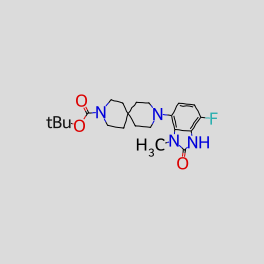 Cn1c(=O)[nH]c2c(F)ccc(N3CCC4(CCN(C(=O)OC(C)(C)C)CC4)CC3)c21